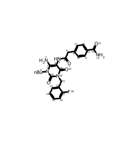 CCCCn1c(N)c(NC(=O)Cc2ccc(C(N)=O)cc2)c(=O)n(Cc2ccccc2F)c1=O